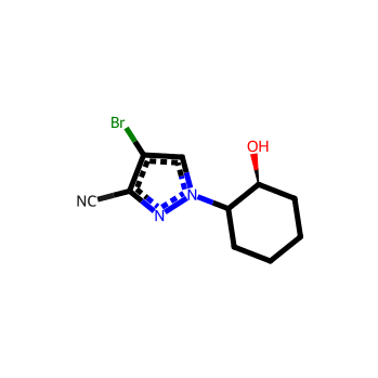 N#Cc1nn(C2CCCC[C@@H]2O)cc1Br